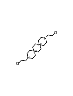 ClCCN1CC[N+]2(CC1)CC[N+]1(CCN(CCCl)CC1)CC2